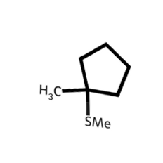 CSC1(C)CCCC1